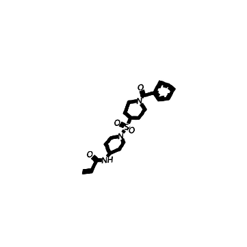 C=CC(=O)NC1CCN(S(=O)(=O)C2CCN(C(=O)c3ccccc3)CC2)CC1